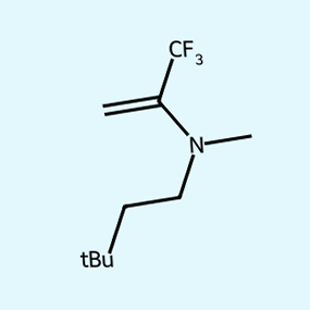 C=C(N(C)CCC(C)(C)C)C(F)(F)F